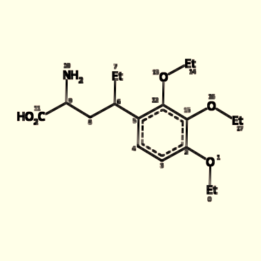 CCOc1ccc(C(CC)CC(N)C(=O)O)c(OCC)c1OCC